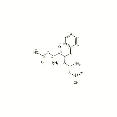 NC(CC(=O)O)CC(Cc1ccccc1)C(=O)[C@H](N)CC(=O)O